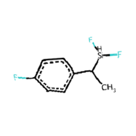 CC(c1ccc(F)cc1)[SiH](F)F